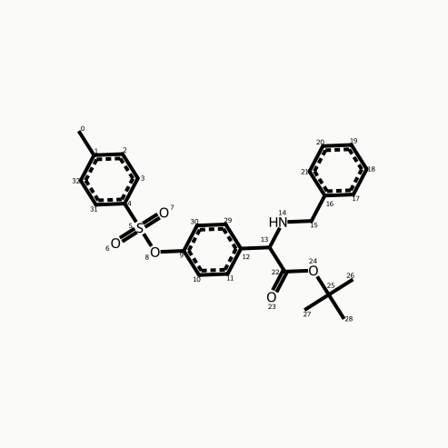 Cc1ccc(S(=O)(=O)Oc2ccc(C(NCc3ccccc3)C(=O)OC(C)(C)C)cc2)cc1